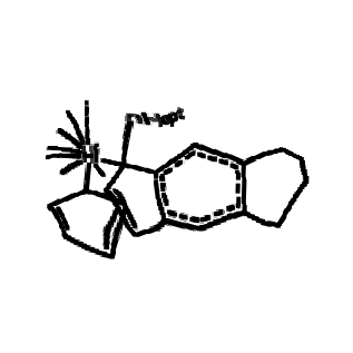 CCCCCCC[C]1([Hf]([CH3])([CH3])([CH3])([CH3])([CH3])([CH3])([CH3])[CH]2C=CC=C2)C=Cc2cc3c(cc21)CCC3